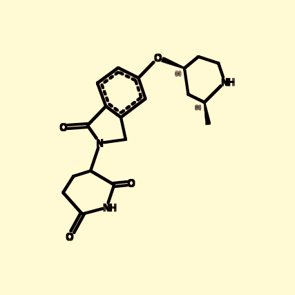 C[C@H]1C[C@@H](Oc2ccc3c(c2)CN(C2CCC(=O)NC2=O)C3=O)CCN1